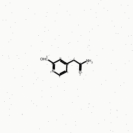 NC(=O)Cc1ccnc(C=O)c1